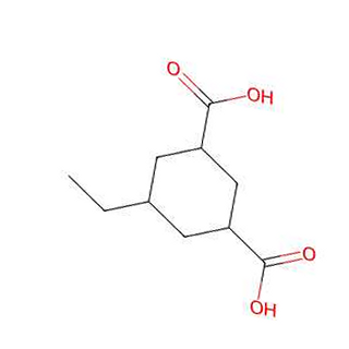 CCC1CC(C(=O)O)CC(C(=O)O)C1